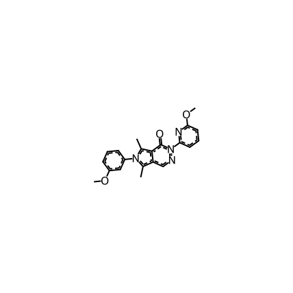 COc1cccc(-n2c(C)c3cnn(-c4cccc(OC)n4)c(=O)c3c2C)c1